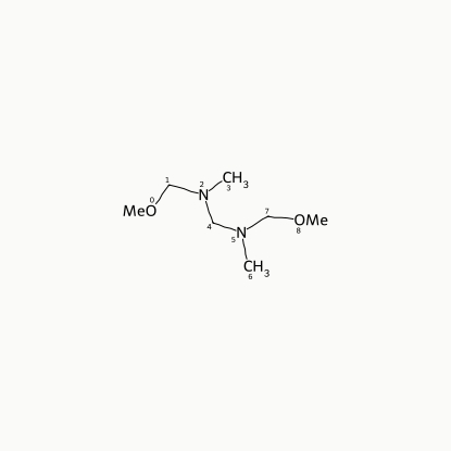 COCN(C)CN(C)COC